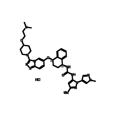 CN(C)CCOC1CCN(c2nnc3ccc(O[C@@H]4CC[C@H](NC(=O)Nc5cc(C(C)(C)C)nn5-c5cnn(C)c5)c5ccccc54)cn23)CC1.Cl